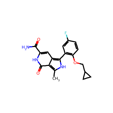 Cc1[nH]c(-c2cc(F)ccc2OCC2CC2)c2cc(C(N)=O)[nH]c(=O)c12